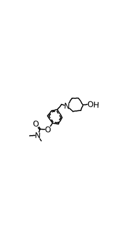 CN(C)C(=O)Oc1ccc(CN2CCC(O)CC2)cc1